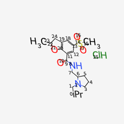 CC(C)CN1CCCC1CNC(=O)c1cc(S(C)(=O)=O)cc2c1OC(C)C2.Cl